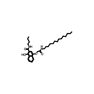 CCCCCCCCCCCCCCNC(=O)COc1cc(C(=O)NCCCC)c(O)c2ccccc12